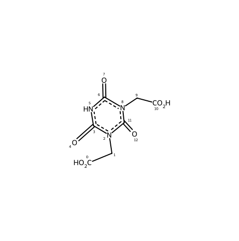 O=C(O)Cn1c(=O)[nH]c(=O)n(CC(=O)O)c1=O